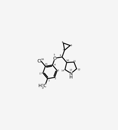 Cc1ccc(OC(C2CC2)C2CCNC2)c(Cl)c1